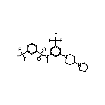 O=S(=O)(Nc1cc(N2CCC(N3CCCC3)CC2)cc(C(F)(F)F)c1)c1cccc(C(F)(F)F)c1